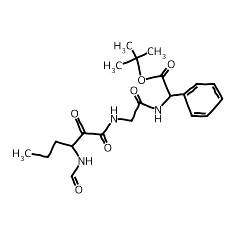 CCCC(NC=O)C(=O)C(=O)NCC(=O)NC(C(=O)OC(C)(C)C)c1ccccc1